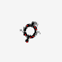 CN1CC(=O)N2CCCC[C@H]2C(=O)NC[C@@H](NC(=O)OC(C)(C)C)C(=O)N2CCCC[C@H]2C(=O)NCC(=O)N(C)CC(=O)N2CCCC[C@H]2C(=O)NC[C@@H](NC(=O)OCc2ccccc2)C(=O)N2CCCC[C@H]2C(=O)NCC1=O